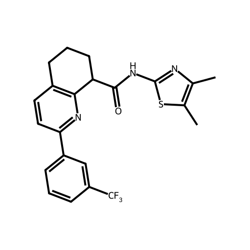 Cc1nc(NC(=O)C2CCCc3ccc(-c4cccc(C(F)(F)F)c4)nc32)sc1C